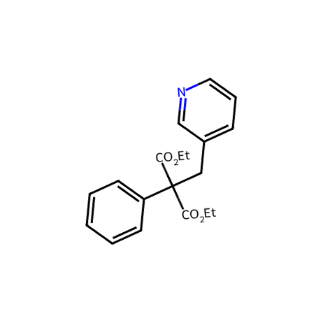 CCOC(=O)C(Cc1cccnc1)(C(=O)OCC)c1ccccc1